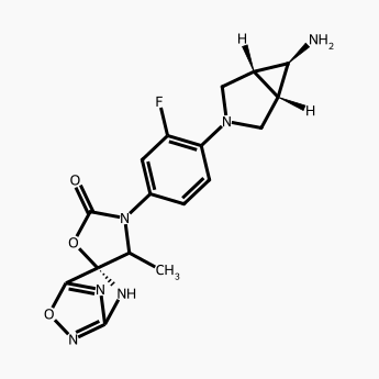 CC1N(c2ccc(N3C[C@@H]4[C@@H](N)[C@@H]4C3)c(F)c2)C(=O)O[C@@]12Nc1noc2n1